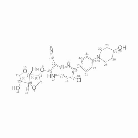 N#Cc1c(O[C@@H]2CO[C@H]3[C@@H]2OC[C@H]3O)[nH]c2cc(Cl)c(-c3ccc(N4CCC(O)CC4)cc3)nc12